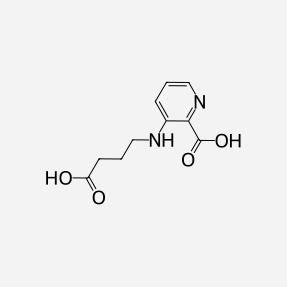 O=C(O)CCCNc1cccnc1C(=O)O